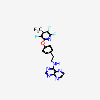 Fc1nc(Oc2ccc(CCNc3ncnc4nccnc34)cc2)c(F)c(C(F)(F)F)c1F